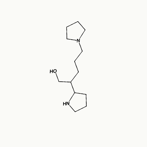 OCC(CCCN1CCCC1)C1CCCN1